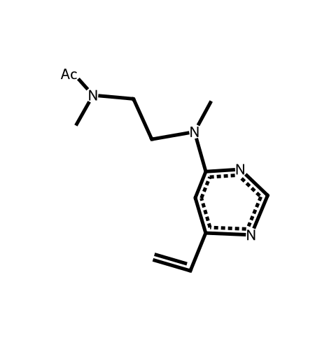 C=Cc1cc(N(C)CCN(C)C(C)=O)ncn1